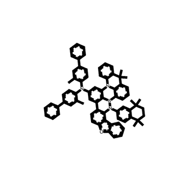 Cc1cc(-c2ccccc2)ccc1N(c1cc2c3c(c1)N1c4ccccc4C(C)(C)c4cccc(c41)B3N(c1ccc3c(c1)C(C)(C)CCC3(C)C)c1c-2ccc2oc3ccccc3c12)c1ccc(-c2ccccc2)cc1C